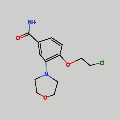 [NH]C(=O)c1ccc(OCCCl)c(N2CCOCC2)c1